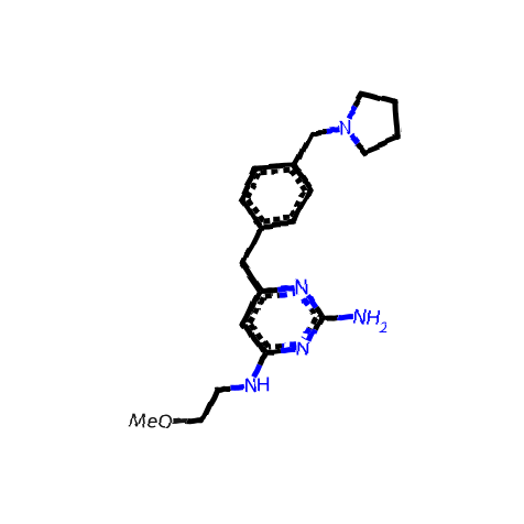 COCCNc1cc(Cc2ccc(CN3CCCC3)cc2)nc(N)n1